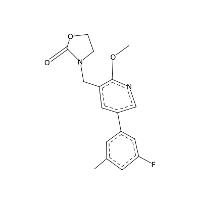 COc1ncc(-c2cc(C)cc(F)c2)cc1CN1CCOC1=O